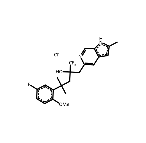 COc1ccc(F)cc1C(C)(C)CC(O)(CC1=Cc2cc(C)[nH]c2C=[N+]1)C(F)(F)F.[Cl-]